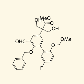 COCOc1ccc(F)cc1-c1cc(C(CO)(CO)C(=O)OC)cc(C=O)c1OCc1ccccc1